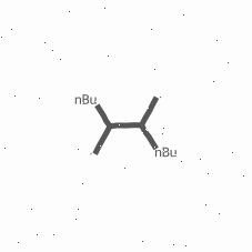 [CH2]C(CCCC)C([CH2])CCCC